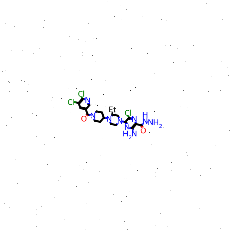 CC[C@H]1CN(c2nc(N)c(C(=O)NN)nc2Cl)CCN1C1CCN(C(=O)c2cnc(Cl)c(Cl)c2)CC1